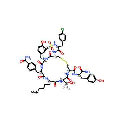 CNCCCC[C@@H]1NC(=O)[C@@H](Cc2ccc(C(N)=O)cc2)NC(=O)[C@H](Cc2ccc(O)cc2)NC(=O)[C@H](NC(=O)[C@H](Cc2ccc(Cl)cc2)NS(C)(=O)=O)CSSC[C@@H](C(=O)N[C@H](Cc2ccc(O)cc2)C(N)=O)NC(=O)[C@H]([C@@H](C)O)NC1=O